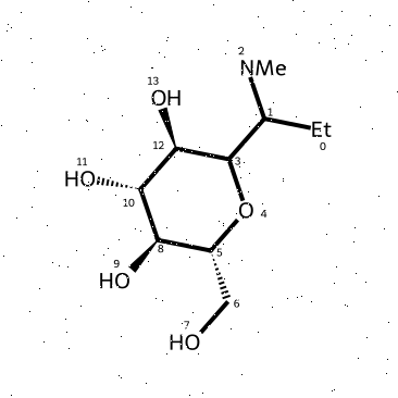 CCC(NC)C1O[C@H](CO)[C@@H](O)[C@H](O)[C@H]1O